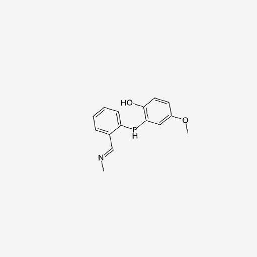 C/N=C/c1ccccc1Pc1cc(OC)ccc1O